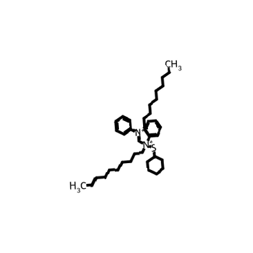 CCCCCCCCCC[N+](=C[N+](CCCCCCCCCC)(SC1CCCCC1)c1ccccc1)c1ccccc1